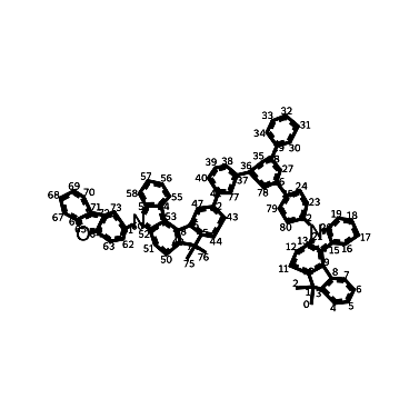 CC1(C)c2ccccc2-c2c1ccc1c2c2ccccc2n1-c1ccc(-c2cc(-c3ccccc3)cc(-c3cccc(-c4ccc5c(c4)-c4c(ccc6c4c4ccccc4n6-c4ccc6oc7ccccc7c6c4)C5(C)C)c3)c2)cc1